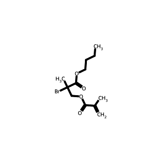 C=C(C)C(=O)OCC(C)(Br)C(=O)OCCCC